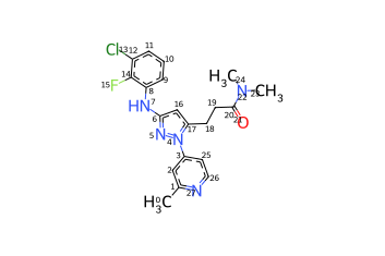 Cc1cc(-n2nc(Nc3cccc(Cl)c3F)cc2CCC(=O)N(C)C)ccn1